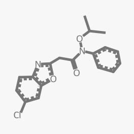 CC(C)ON(C(=O)Cc1nc2ccc(Cl)cc2o1)c1ccccc1